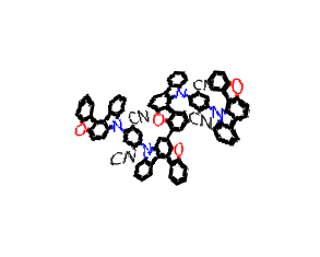 N#Cc1cc(-n2c3ccccc3c3c4c(oc5ccccc54)c(-c4cccc5c4oc4ccc6c7ccccc7n(-c7cc(C#N)c(-n8c9ccccc9c9ccc%10oc%11ccccc%11c%10c98)cc7C#N)c6c45)cc32)c(C#N)cc1-n1c2ccccc2c2c3c(ccc21)oc1ccccc13